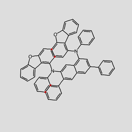 c1ccc(-c2cc(N(c3ccccc3)c3cccc4oc5ccccc5c34)c3cc(N(c4ccccc4)c4cccc5oc6ccccc6c45)c(-c4ccccc4)cc3c2)cc1